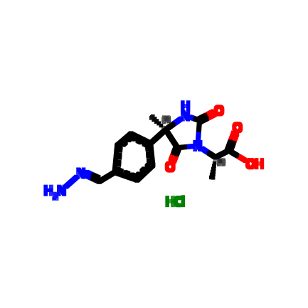 C[C@@H](C(=O)O)N1C(=O)N[C@](C)(c2ccc(C=NN)cc2)C1=O.Cl